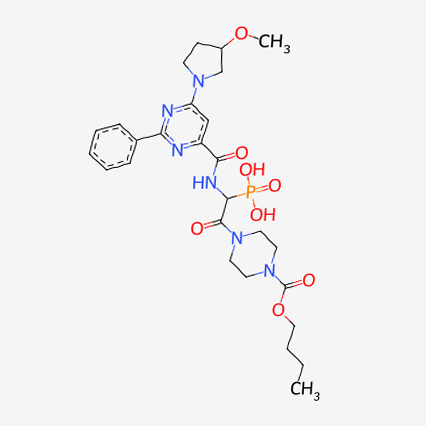 CCCCOC(=O)N1CCN(C(=O)C(NC(=O)c2cc(N3CCC(OC)C3)nc(-c3ccccc3)n2)P(=O)(O)O)CC1